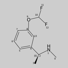 CN[C@@H](C)c1cccc(OC(F)F)c1